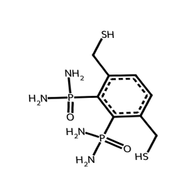 NP(N)(=O)c1c(CS)ccc(CS)c1P(N)(N)=O